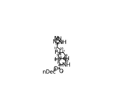 CCCCCCCCCCOC(=O)[C@@H]1C[C@H]2C[C@@](F)(CCc3nnn[nH]3)CC[C@H]2CN1